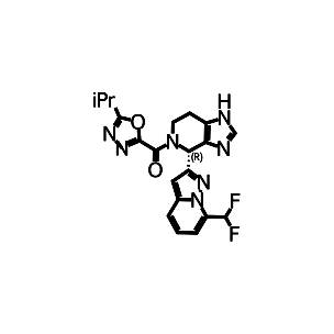 CC(C)c1nnc(C(=O)N2CCc3[nH]cnc3[C@@H]2c2cc3cccc(C(F)F)n3n2)o1